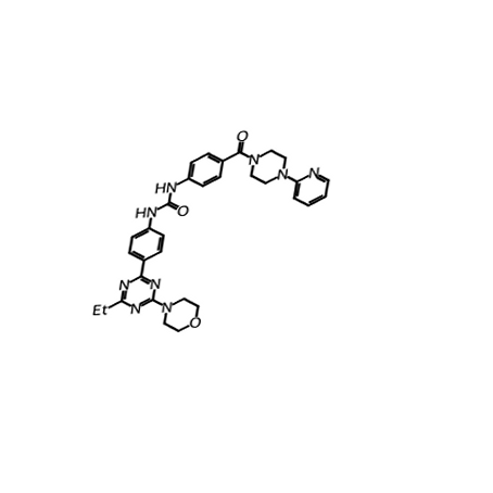 CCc1nc(-c2ccc(NC(=O)Nc3ccc(C(=O)N4CCN(c5ccccn5)CC4)cc3)cc2)nc(N2CCOCC2)n1